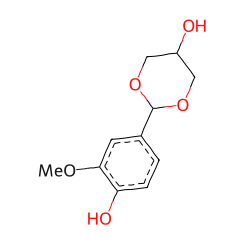 COc1cc(C2OCC(O)CO2)ccc1O